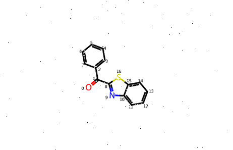 O=C(c1c[c]ccc1)c1nc2ccccc2s1